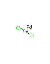 [Cl][Fe][Cl].[Pd]